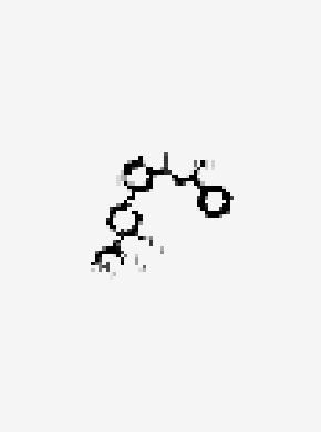 C=C(CC)N1CCN(c2cc(NCC(O)c3ccccc3)ncn2)C[C@@H]1C